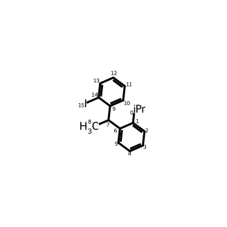 CC(C)c1ccccc1C(C)c1ccccc1I